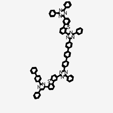 c1ccc(-c2ccc(-c3nc(-c4ccccc4)cc(-c4cccc5c4sc4ccc(-c6nc(-c7ccccc7)nc(-c7ccc(-c8ccc(-c9ccc(-c%10nc(-c%11ccccc%11)nc(-c%11cccc%12c%11sc%11ccc(-c%13nc(-c%14ccccc%14)nc(-c%14ccccc%14)n%13)cc%11%12)n%10)cc9)cc8)cc7)n6)cc45)n3)cc2)cc1